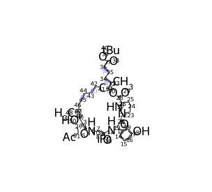 CC(=O)CC[C@H]1C(=O)N[C@@H](C(C)C)C(=O)NC(c2cccc(O)c2)C(=O)N2CCCC(N2)C(=O)O[C@H](/C(C)=C/C=C/C(=O)OC(C)(C)C)C/C=C/C=C/C[C@H](C)[C@H]1O